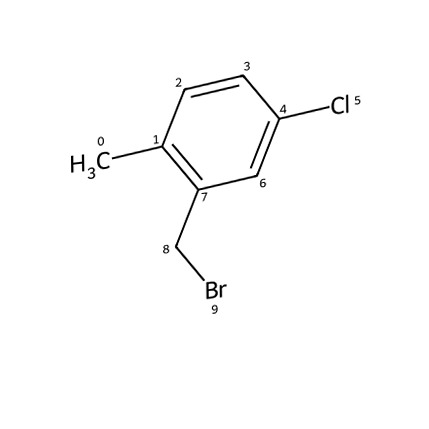 Cc1ccc(Cl)cc1CBr